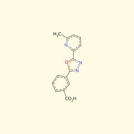 Cc1cccc(-c2nnc(-c3cccc(C(=O)O)c3)o2)n1